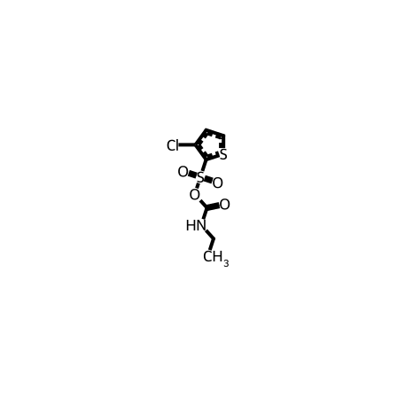 CCNC(=O)OS(=O)(=O)c1sccc1Cl